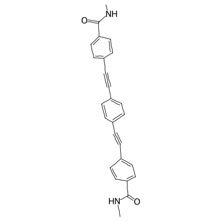 CNC(=O)c1ccc(C#Cc2ccc(C#Cc3ccc(C(=O)NC)cc3)cc2)cc1